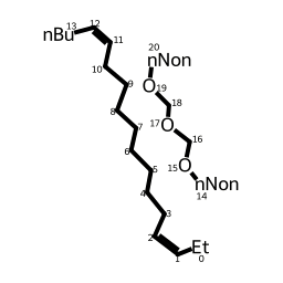 CC/C=C\CCCCCCCC/C=C\CCCC.CCCCCCCCCOCOCOCCCCCCCCC